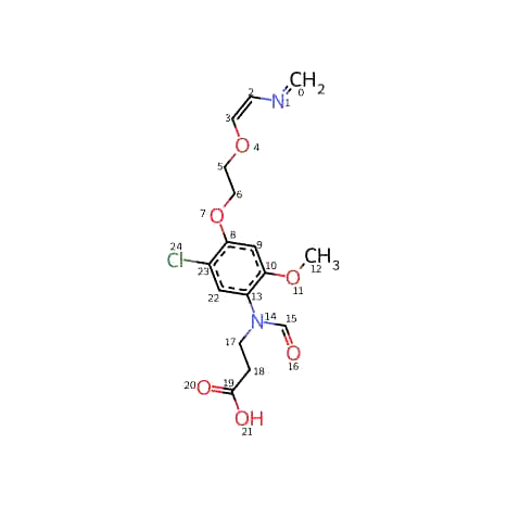 C=N/C=C\OCCOc1cc(OC)c(N(C=O)CCC(=O)O)cc1Cl